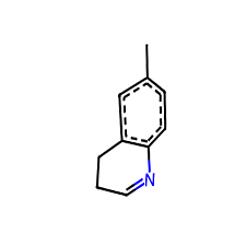 Cc1ccc2c(c1)CCC=N2